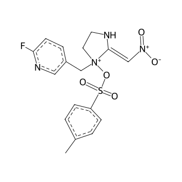 Cc1ccc(S(=O)(=O)O[N+]2(Cc3ccc(F)nc3)CCNC2=C[N+](=O)[O-])cc1